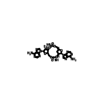 Nc1ncnc2c1ncn2[C@@H]1OC2CO[P@@](=O)(S)O[C@@H]3C[C@@H](CO[P@](=O)(S)O[C@H]2[C@H]1F)O[C@H]3n1cnc2c(N)ncnc21